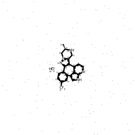 Cc1c[nH]c2nccc(-c3c(-c4ccc(C(F)(F)F)cc4)nn4c3CN[C@H](C)C4)c12.[Cl-].[H+]